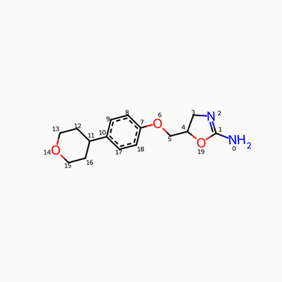 NC1=NCC(COc2ccc(C3CCOCC3)cc2)O1